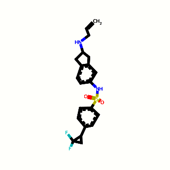 C=CCNC1Cc2ccc(NS(=O)(=O)c3ccc(C4CC4(F)F)cc3)cc2C1